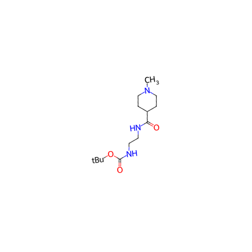 CN1CCC(C(=O)NCCNC(=O)OC(C)(C)C)CC1